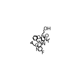 CC(C)n1c(=O)n(CCCO)c(=O)c2c1nc(C1=C(OCC3CC3)N=CC(F)C1)n2CC1=C=C=CC=C1